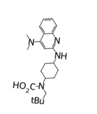 CN(C)c1cc(NC2CCC(N(CC(C)(C)C)C(=O)O)CC2)nc2ccccc12